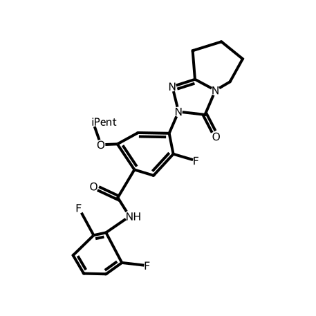 CCCC(C)Oc1cc(-n2nc3n(c2=O)CCCC3)c(F)cc1C(=O)Nc1c(F)cccc1F